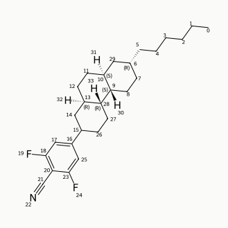 CCCCCC[C@@H]1CC[C@H]2[C@@H](CC[C@@H]3CC(c4cc(F)c(C#N)c(F)c4)CC[C@H]32)C1